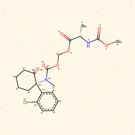 CCC(C)[C@H](NC(=O)OC(C)(C)C)C(=O)OCOC(=O)N(C)[C@]1(c2ccccc2Cl)CCCCC1=O